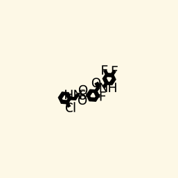 O=C(Nc1ccc(F)c(F)c1)c1cc(S(=O)(=O)NCc2ccccc2Cl)ccc1F